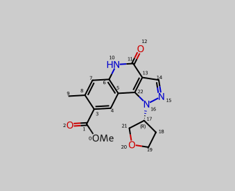 COC(=O)c1cc2c(cc1C)[nH]c(=O)c1cnn([C@@H]3CCOC3)c12